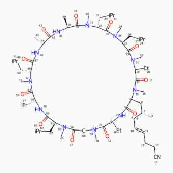 CCC1NC(=O)C(C[C@H](C)C/C=C/CCC#N)N(C)C(=O)C(CC)N(C)C(=O)[C@H](CC(C)C)N(C)C(=O)[C@@H](CC(C)C)N(C)C(=O)[C@H](C)NC(=O)[C@@H](C)NC(=O)[C@@H](CC(C)C)N(C)C(=O)[C@@H](C(C)C)NC(=O)[C@H](CC(C)C)N(C)C(=O)CN(C)C1=O